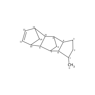 CC1CCC2C3CC(C12)C1C2C=CC(C2)C31